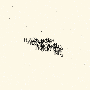 Nc1nc2c(ncn2[C@@H]2O[C@@H]3OCP(=O)(O)OC4C(F)[C@H](n5cnc6c(N)ncnc65)O[C@@H]4COP(=O)(O)OC2C3O)c(=O)[nH]1